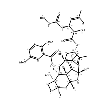 COc1ccc(OC)c(C(=O)O[C@H]2[C@@H]3[C@]4(OC(C)=O)CO[C@@H]4C[C@H]4O[C@H](C(=O)[C@@]34C)C3=C(C)[C@@H](OC(=O)[C@H](O)[C@H](C=C(C)C)NC(=O)OC(C)(C)C)C[C@]2(O)C3(C)C)c1